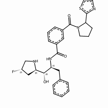 Cc1csc(C2CCCN2C(=O)c2cccc(C(=O)N[C@@H](Cc3ccccc3)[C@H](O)[C@H]3C[C@H](F)CN3)c2)n1